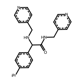 CC(C)c1ccc(C(NCc2ccncc2)C(=O)NCc2ccncc2)cc1